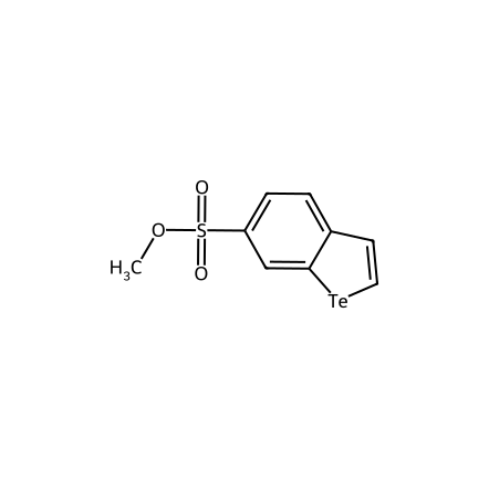 COS(=O)(=O)c1ccc2cc[te]c2c1